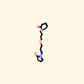 O=C1CCCCN1CCCCOCCCN1CCCC1=O